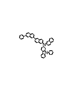 C1=CC(N(c2ccc3ccccc3c2)c2ccc3cc(-c4ccc5ccc(-c6ccccc6)cc5c4)ccc3c2)Cc2c1c1ccccc1n2-c1ccccc1